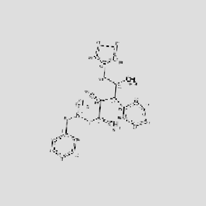 C=C(CN(C)Cc1ccccc1)C(=O)C(c1ccccc1)C(C)Cc1ccco1